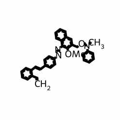 C=Cc1ccccc1C=Cc1ccc(N=Nc2c(OC)c(CON(C)c3ccccc3)cc3ccccc23)cc1